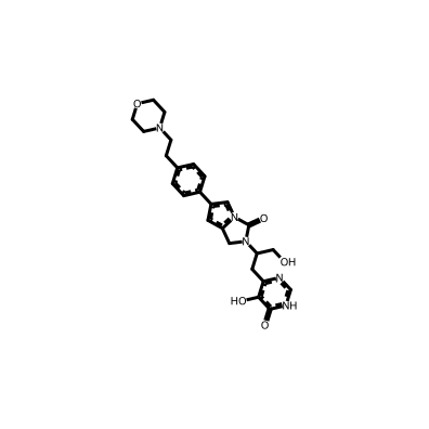 O=C1N(C(CO)Cc2nc[nH]c(=O)c2O)Cc2cc(-c3ccc(CCN4CCOCC4)cc3)cn21